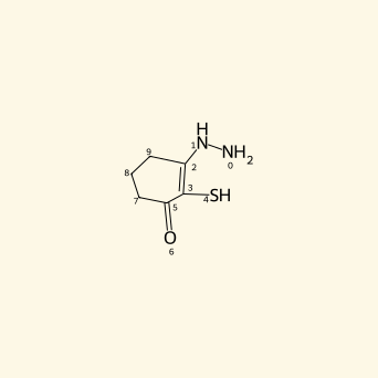 NNC1=C(S)C(=O)CCC1